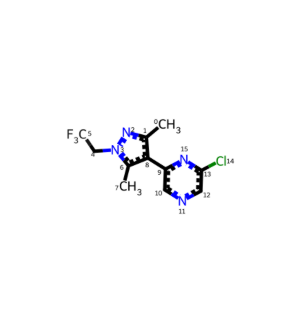 Cc1nn(CC(F)(F)F)c(C)c1-c1cncc(Cl)n1